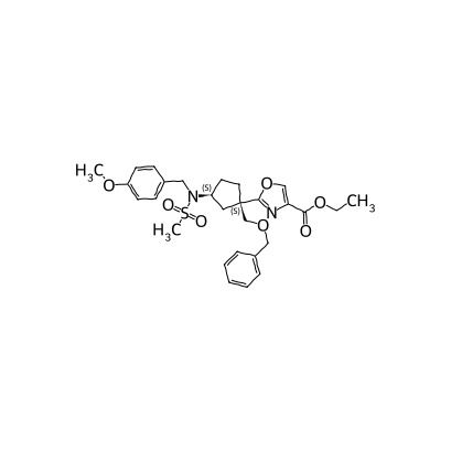 CCOC(=O)c1coc([C@@]2(COCc3ccccc3)CC[C@H](N(Cc3ccc(OC)cc3)S(C)(=O)=O)C2)n1